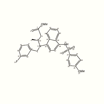 COC(=O)C[C@H](C)N(Cc1cccc(F)c1)c1ccc(NS(=O)(=O)c2ccc(OC)cc2)c2ccccc12